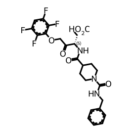 O=C(O)C[C@H](NC(=O)C1CCN(C(=O)NCc2ccccc2)CC1)C(=O)COc1c(F)c(F)cc(F)c1F